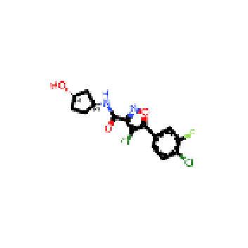 O=C(N[C@@H]1CC[C@H](O)C1)c1noc(-c2ccc(Cl)c(F)c2)c1Cl